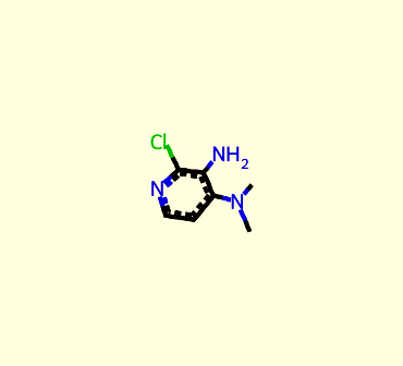 CN(C)c1ccnc(Cl)c1N